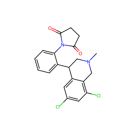 CN1Cc2c(Cl)cc(Cl)cc2C(c2ccccc2N2C(=O)CCC2=O)C1